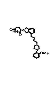 COc1ccccc1N1CCN(CCCCc2cccc3c2CN(C2CCC(=O)NC2=O)C3)CC1